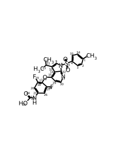 Cc1ccc(S(=O)(=O)n2cc(C(C)C)c3c(Oc4c(F)cc(NC(=O)O)cc4F)ccnc32)cc1